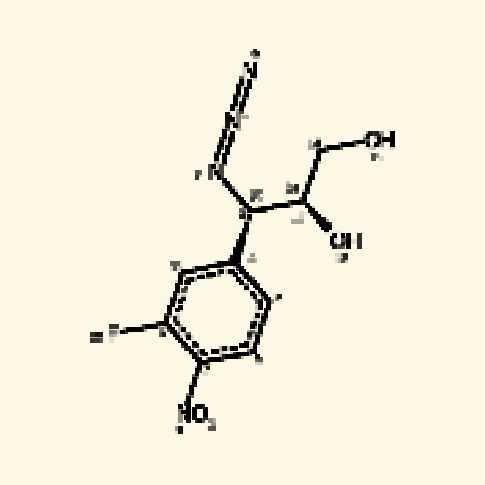 [N-]=[N+]=N[C@H](c1ccc([N+](=O)[O-])c(F)c1)[C@H](O)CO